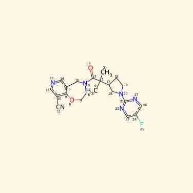 CC(C)(C(=O)N1CCOc2c(C#N)cncc2C1)C1CCN(c2ncc(F)cn2)C1